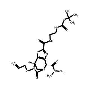 C=CCON1C(=O)N2C[C@H]1c1sc(C(=O)NCCNC(=O)OC(C)(C)C)nc1[C@@H]2C(=O)N(C)C